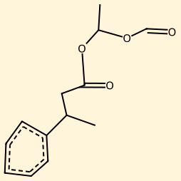 CC(OC=O)OC(=O)CC(C)c1ccccc1